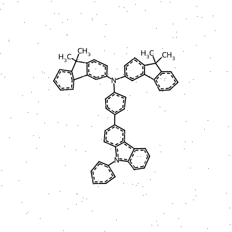 CC1(C)c2ccccc2-c2cc(N(c3ccc(-c4ccc5c(c4)c4ccccc4n5-c4ccccc4)cc3)c3ccc4c(c3)-c3ccccc3C4(C)C)ccc21